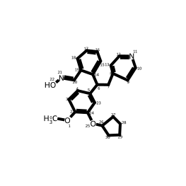 COc1ccc(C(Cc2ccncc2)c2ccccc2C=NO)cc1OC1CCCC1